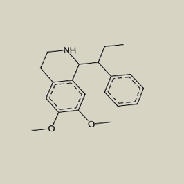 CCC(c1ccccc1)C1NCCc2cc(OC)c(OC)cc21